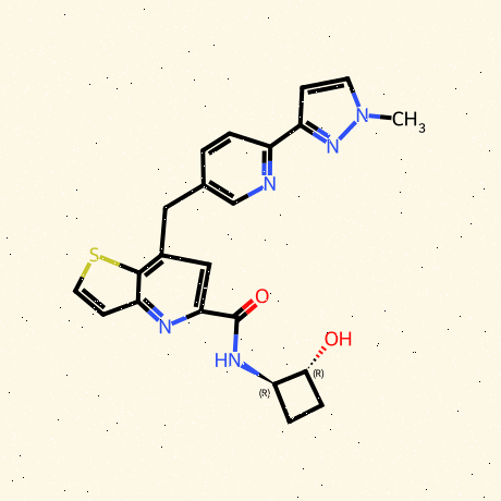 Cn1ccc(-c2ccc(Cc3cc(C(=O)N[C@@H]4CC[C@H]4O)nc4ccsc34)cn2)n1